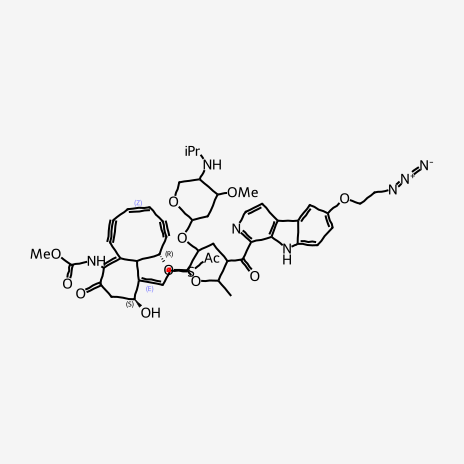 COC(=O)NC1=C2C#C/C=C\C#C[C@H](OC3OC(C)C(C(=O)c4nccc5c4[nH]c4ccc(OCCN=[N+]=[N-])cc45)CC3OC3CC(OC)C(NC(C)C)CO3)C2/C(=C\CSC(C)=O)[C@@H](O)CC1=O